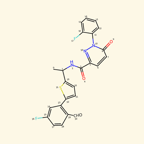 CC(NC(=O)c1ccc(=O)n(-c2ccccc2F)n1)c1ccc(-c2cc(F)ccc2C=O)s1